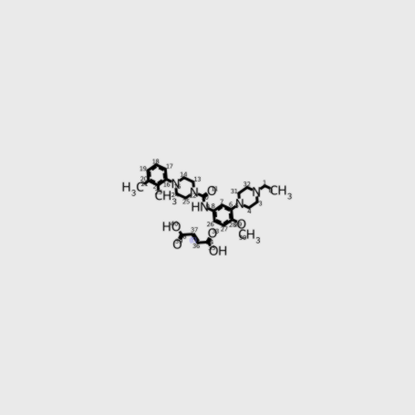 CCN1CCN(c2cc(NC(=O)N3CCN(c4cccc(C)c4C)CC3)ccc2OC)CC1.O=C(O)/C=C/C(=O)O